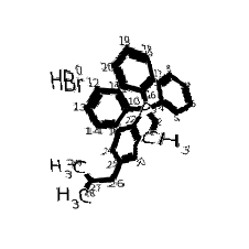 Br.CCP(c1ccccc1)(c1ccccc1)(c1ccccc1)c1ccc(CC(C)C)cc1